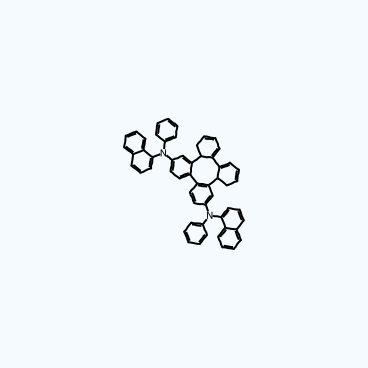 C1=CCC2C(=C1)C1=CC=CCC1c1cc(N(c3ccccc3)c3cccc4ccccc34)ccc1-c1ccc(N(c3ccccc3)c3cccc4ccccc34)cc12